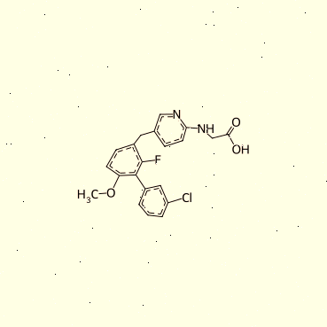 COc1ccc(Cc2ccc(NCC(=O)O)nc2)c(F)c1-c1cccc(Cl)c1